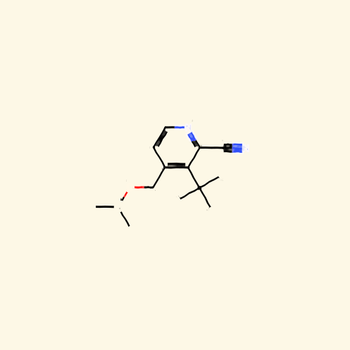 C[SiH](C)OCc1ccnc(C#N)c1C(C)(C)C